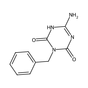 Nc1nc(=O)n(Cc2ccccc2)c(=O)[nH]1